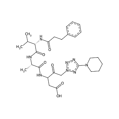 CC(C)[C@H](NC(=O)CCc1ccccc1)C(=O)N[C@@H](C)C(=O)NC(CC(=O)O)C(=O)Cn1nnc(N2CCCCC2)n1